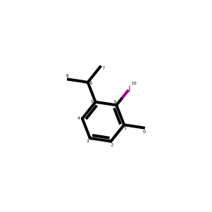 Cc1cccc(C(C)C)c1I